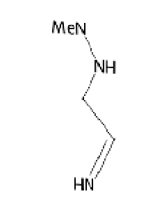 CNNCC=N